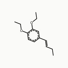 CC[C]=Cc1ccc(OCC)c(OCC)c1